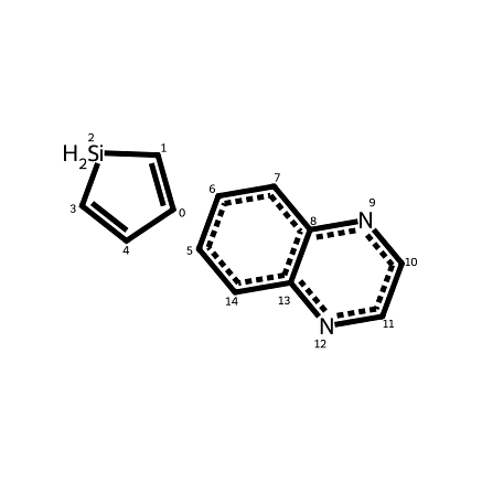 C1=C[SiH2]C=C1.c1ccc2nccnc2c1